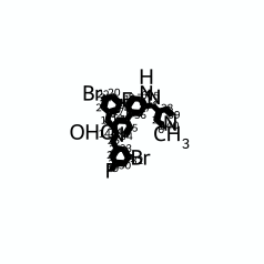 Cc1cc(-c2n[nH]c3ccc(C4=CC(C=O)(Cc5cc(F)cc(Br)c5)N(Cc5cc(F)cc(Br)c5)C=C4)cc23)ccn1